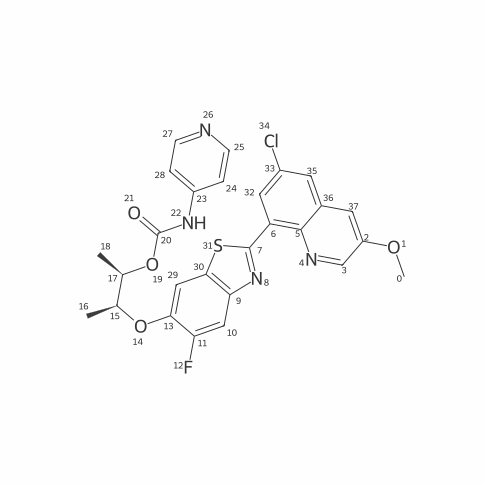 COc1cnc2c(-c3nc4cc(F)c(O[C@@H](C)[C@@H](C)OC(=O)Nc5ccncc5)cc4s3)cc(Cl)cc2c1